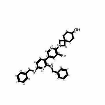 OC1CCC2(CC1)CN(c1ncc(-c3ccc(OCc4ccccc4)nc3OCc3ccccc3)cc1F)C2